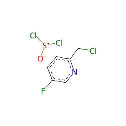 Fc1ccc(CCl)nc1.[O-][S+](Cl)Cl